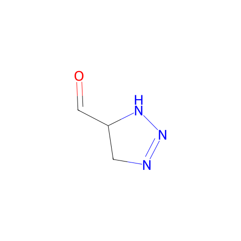 O=CC1CN=NN1